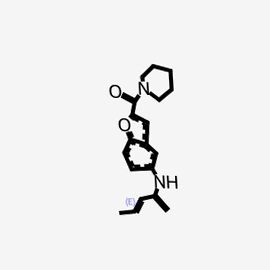 C=C(/C=C/C)Nc1ccc2oc(C(=O)N3CCCCC3)cc2c1